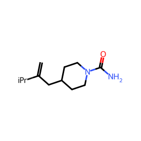 C=C(CC1CCN(C(N)=O)CC1)C(C)C